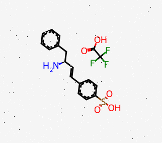 N[C@H](/C=C/c1ccc(S(=O)(=O)O)cc1)Cc1ccccc1.O=C(O)C(F)(F)F